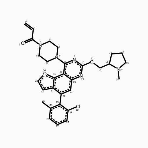 C=CC(=O)N1CCN(c2nc(OCC3CCCN3C)nc3cc(-c4c(C)cccc4Cl)c4ccoc4c23)CC1